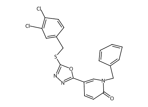 O=c1ccc(-c2nnc(SCc3ccc(Cl)c(Cl)c3)o2)cn1Cc1ccccc1